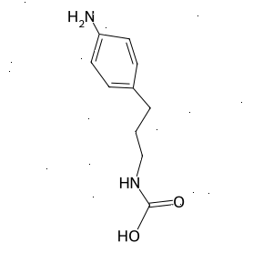 Nc1ccc(CCCNC(=O)O)cc1